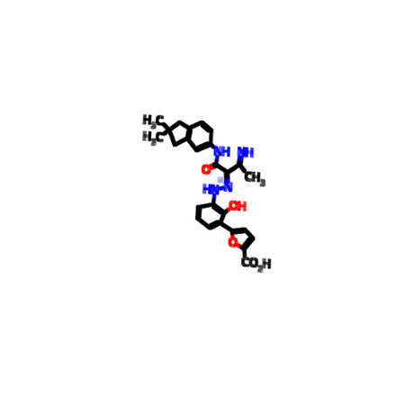 CC(=N)/C(=N/Nc1cccc(-c2ccc(C(=O)O)o2)c1O)C(=O)Nc1ccc2c(c1)CC(C)(C)C2